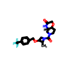 CC1C(OCc2ccc(C(F)(F)F)cc2)CN1C(=O)N1CCC2OCC(=O)N[C@@H]2C1